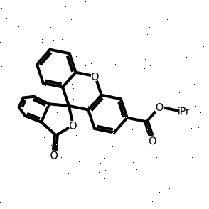 CC(C)OC(=O)c1ccc2c(c1)Oc1ccccc1C21OC(=O)c2ccccc21